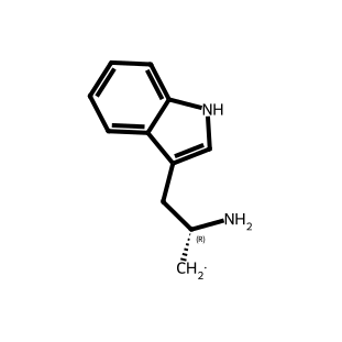 [CH2][C@@H](N)Cc1c[nH]c2ccccc12